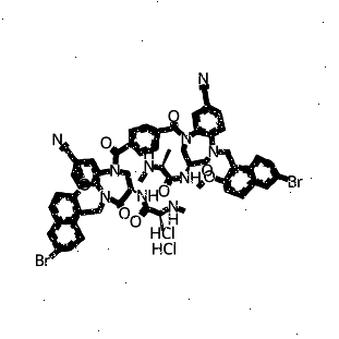 CN[C@@H](C)C(=O)N[C@H]1CN(C(=O)c2ccc(C(=O)N3C[C@H](NC(=O)[C@H](C)NC)C(=O)N(Cc4c(OC)ccc5cc(Br)ccc45)c4ccc(C#N)cc43)cc2)c2cc(C#N)ccc2N(Cc2c(OC)ccc3cc(Br)ccc23)C1=O.Cl.Cl